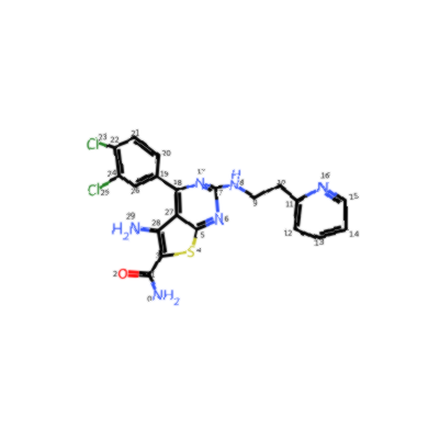 NC(=O)c1sc2nc(NCCc3ccccn3)nc(-c3ccc(Cl)c(Cl)c3)c2c1N